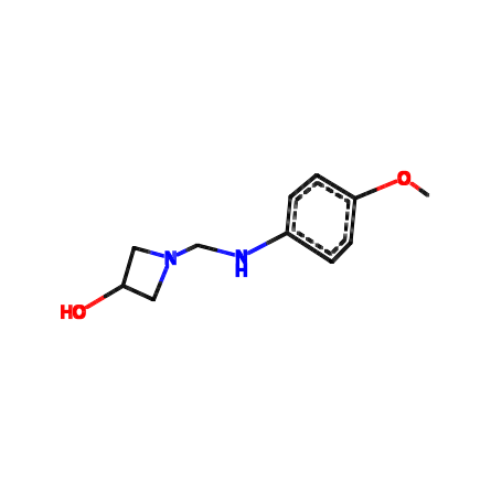 COc1ccc(NCN2CC(O)C2)cc1